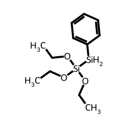 CCO[Si](OCC)(OCC)[SiH2]c1ccccc1